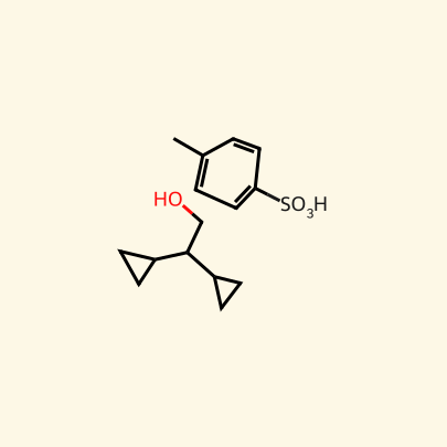 Cc1ccc(S(=O)(=O)O)cc1.OCC(C1CC1)C1CC1